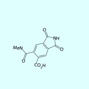 CNC(=O)c1cc2c(cc1C(=O)O)C(=O)NC2=O